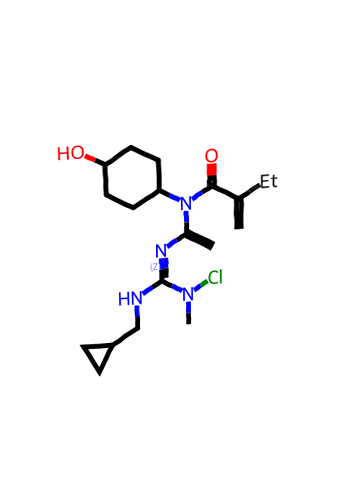 C=C(CC)C(=O)N(C(=C)/N=C(/NCC1CC1)N(C)Cl)C1CCC(O)CC1